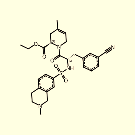 CCOC(=O)[C@H]1CC(C)=CCN1C(=O)[C@H](Cc1cccc(C#N)c1)NS(=O)(=O)c1ccc2c(c1)CN(C)CC2